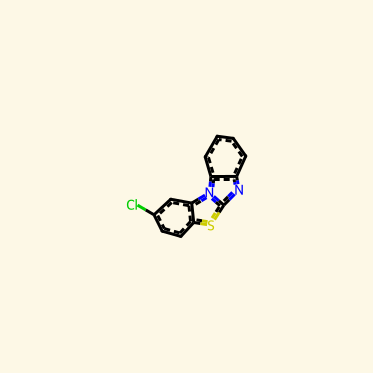 Clc1ccc2sc3nc4ccccc4n3c2c1